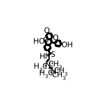 C[N+](C)(C)CC[N+](C)(C)CCNC(=S)c1ccc(C(=O)O)c(-c2c3ccc(=O)cc-3oc3cc(O)ccc23)c1